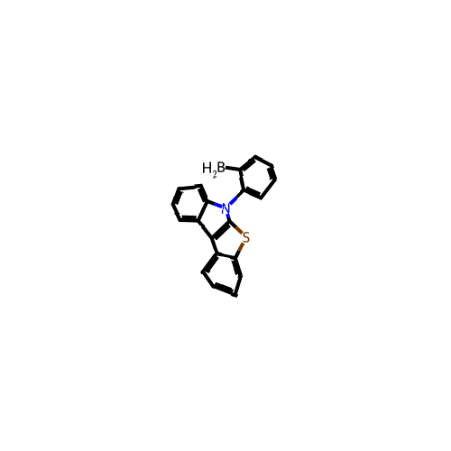 Bc1ccccc1-n1c2ccccc2c2c3ccccc3sc21